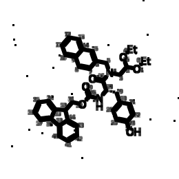 CCOC(CN(Cc1ccc2ccccc2c1)C(=O)[C@H](Cc1ccc(O)cc1)NC(=O)OCC1c2ccccc2-c2ccccc21)OCC